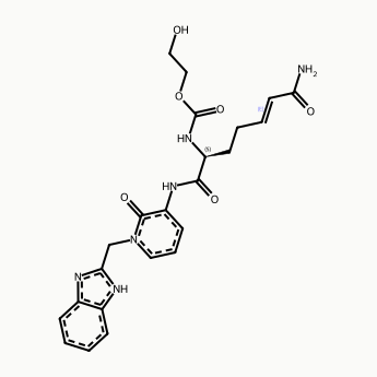 NC(=O)/C=C/CC[C@H](NC(=O)OCCO)C(=O)Nc1cccn(Cc2nc3ccccc3[nH]2)c1=O